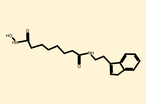 O=C(CCCCCCC(=O)NCCC1=CCc2ccccc21)NO